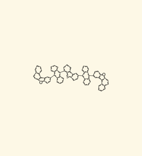 c1ccc2c(c1)ccc1oc3ccc(-c4c5ccccc5c(-c5ccc6sc7c(-c8c9ccccc9c(-c9ccc%10oc%11ccc%12ccccc%12c%11c%10c9)c9ccccc89)cccc7c6c5)c5ccccc45)cc3c12